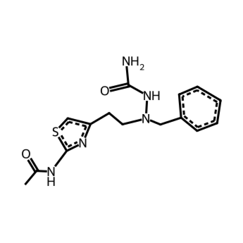 CC(=O)Nc1nc(CCN(Cc2ccccc2)NC(N)=O)cs1